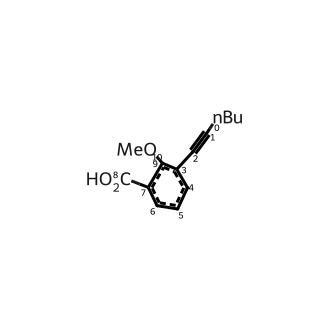 CCCCC#Cc1cccc(C(=O)O)c1OC